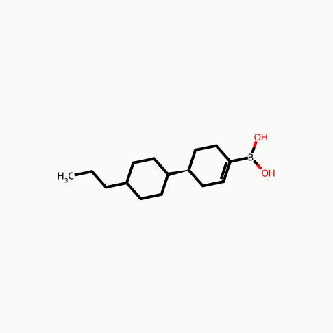 CCCC1CCC([C@@H]2CC=C(B(O)O)CC2)CC1